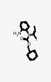 C/C=C(/I)N(C(=O)OCc1ccccc1)c1ccccc1N